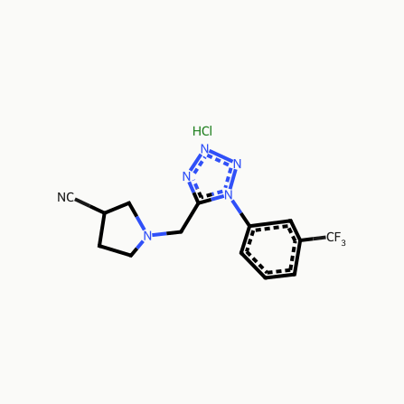 Cl.N#CC1CCN(Cc2nnnn2-c2cccc(C(F)(F)F)c2)C1